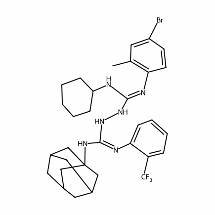 Cc1cc(Br)ccc1N=C(NNC(=Nc1ccccc1C(F)(F)F)NC12CC3CC(CC(C3)C1)C2)NC1CCCCC1